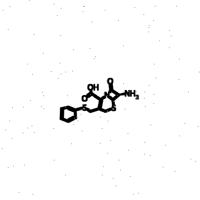 N[C@@H]1C(=O)N2C(C(=O)O)=C(CSc3ccccc3)CSC12